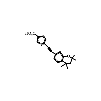 CCOC(=O)c1ccc(C#Cc2ccc3c(c2)OC(C)(C)CC3(C)C)nc1